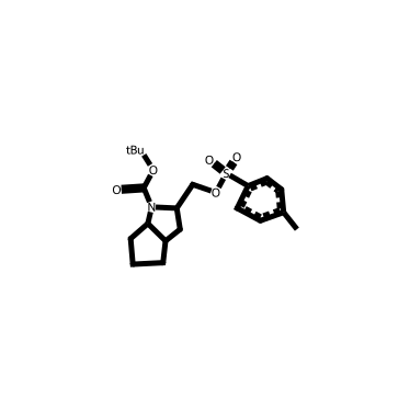 Cc1ccc(S(=O)(=O)OCC2CC3CCCC3N2C(=O)OC(C)(C)C)cc1